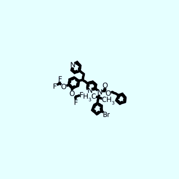 CC(C)(c1cccc(Br)c1)N(C(=O)OCc1ccccc1)c1ccc(C(Cc2ccncc2)c2ccc(OC(F)F)c(OC(F)F)c2)cn1